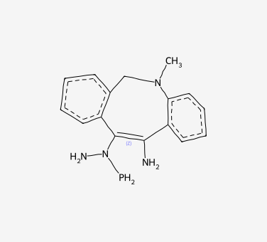 CN1Cc2ccccc2/C(N(N)P)=C(/N)c2ccccc21